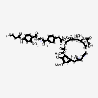 COc1cc2cc(c1Cl)N(C)C(=O)C[C@H](OC(=O)Cc1ccc(/C(C)=N/NC(=O)c3ccc(NC(=O)CCC(C)C)cc3[N+](=O)[O-])cc1)[C@]1(C)O[C@H]1[C@H](C)C1C[C@](O)(C/C=C/C=C(\C)C2)NC(=O)O1